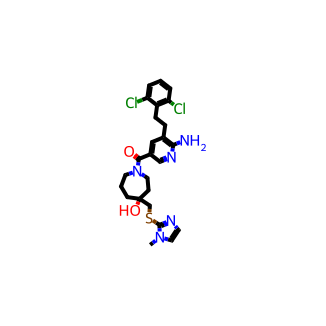 Cn1ccnc1SCC1(O)CCCN(C(=O)c2cnc(N)c(CCc3c(Cl)cccc3Cl)c2)CC1